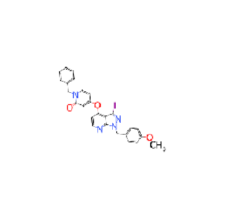 COc1ccc(Cn2nc(I)c3c(Oc4ccn(Cc5ccccc5)c(=O)c4)ccnc32)cc1